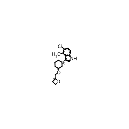 Cc1c(Cl)ccc2[nH]cc([C@@H]3CCC[C@H](OC[C@@H]4CCO4)C3)c12